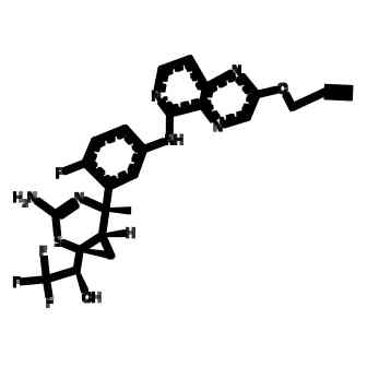 C#CCOc1cnc2c(Nc3ccc(F)c([C@@]4(C)N=C(N)S[C@]5([C@@H](O)C(F)(F)F)C[C@H]54)c3)nccc2n1